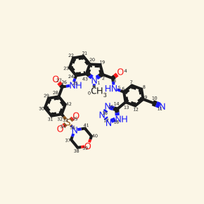 Cn1c(C(=O)Nc2ccc(C#N)cc2-c2nnn[nH]2)cc2cccc(NC(=O)c3cccc(S(=O)(=O)N4CCOCC4)c3)c21